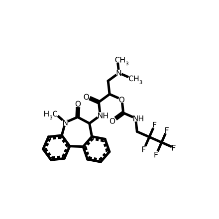 CN(C)CC(OC(=O)NCC(F)(F)C(F)(F)F)C(=O)NC1C(=O)N(C)c2ccccc2-c2ccccc21